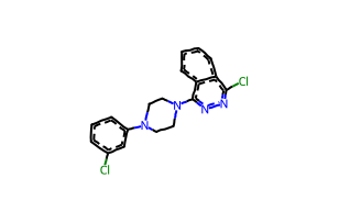 Clc1cccc(N2CCN(c3nnc(Cl)c4ccccc34)CC2)c1